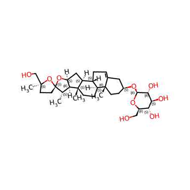 C[C@H]1[C@H]2[C@H](C[C@H]3[C@@H]4CC=C5C[C@@H](O[C@@H]6O[C@H](CO)[C@@H](O)[C@H](O)[C@H]6O)CC[C@]5(C)[C@H]4CC[C@]23C)O[C@]12CC[C@@](C)(CO)O2